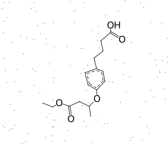 CCOC(=O)CC(C)Oc1ccc(CCCC(=O)O)cc1